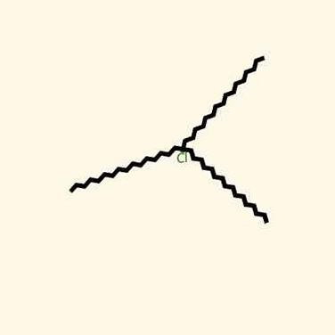 CCCCCCCCCCCCCCCCC(Cl)(CCCCCCCCCCCCCCCC)CCCCCCCCCCCCCCCC